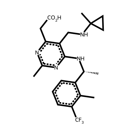 Cc1nc(CC(=O)O)c(CNC2(C)CC2)c(N[C@H](C)c2cccc(C(F)(F)F)c2C)n1